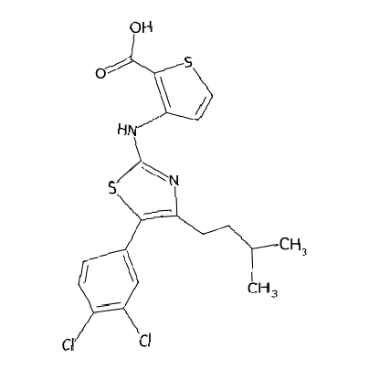 CC(C)CCc1nc(Nc2ccsc2C(=O)O)sc1-c1ccc(Cl)c(Cl)c1